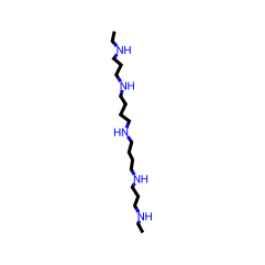 CCNCCCNCCCCNCCCCNCCCNCC